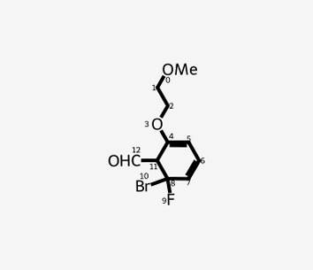 COCCOC1=CC=CC(F)(Br)C1C=O